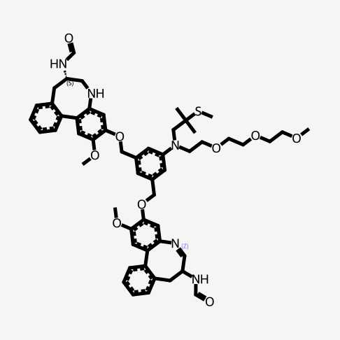 COCCOCCOCCN(CC(C)(C)SC)c1cc(COc2cc3c(cc2OC)-c2ccccc2CC(NC=O)/C=N\3)cc(COc2cc3c(cc2OC)-c2ccccc2C[C@H](NC=O)CN3)c1